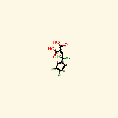 O=C(O)C(=CC(F)(F)c1ccc(F)c(F)c1)C(=O)O